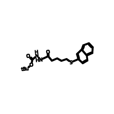 CC(C)(C)OC(=O)NNC(=O)CCCCSc1ccc2ccccc2c1